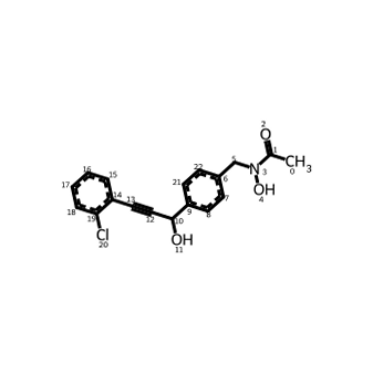 CC(=O)N(O)Cc1ccc(C(O)C#Cc2ccccc2Cl)cc1